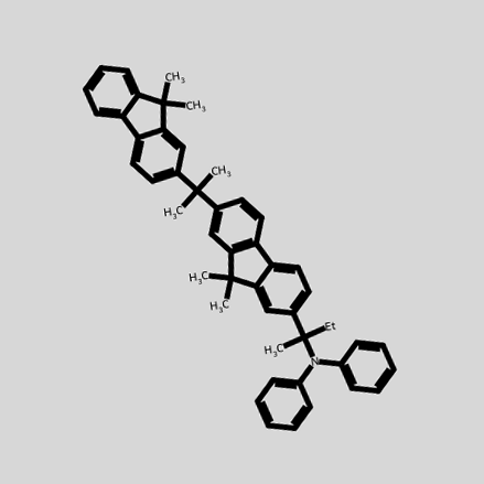 CCC(C)(c1ccc2c(c1)C(C)(C)c1cc(C(C)(C)c3ccc4c(c3)C(C)(C)c3ccccc3-4)ccc1-2)N(c1ccccc1)c1ccccc1